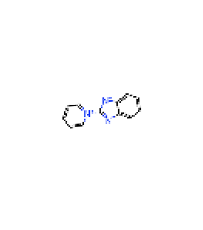 c1cc[n+](-c2nc3ccccc3[n-]2)cc1